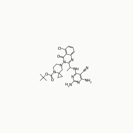 CC(Nc1nc(N)nc(N)c1C#N)c1nc2cccc(Cl)c2c(=O)n1N1CCN(C(=O)OC(C)(C)C)C2(CC2)C1